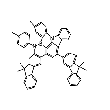 Cc1ccc(N2B3c4cc(C)ccc4-n4c5ccccc5c5c(-c6ccc7c(c6)-c6ccccc6C7(C)C)cc(c3c54)-c3cc4c(cc32)C(C)(C)c2ccccc2-4)cc1